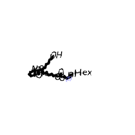 CCCCCC/C=C\COC(=O)OCCCCCCN(CCCCCCO)S(=O)(=O)c1ccccc1[N+](=O)[O-]